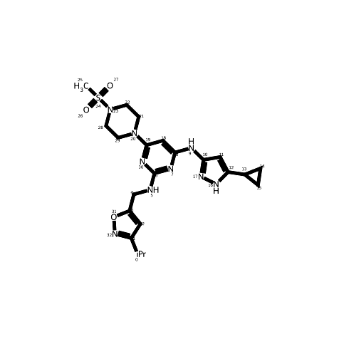 CC(C)c1cc(CNc2nc(Nc3cc(C4CC4)[nH]n3)cc(N3CCN(S(C)(=O)=O)CC3)n2)on1